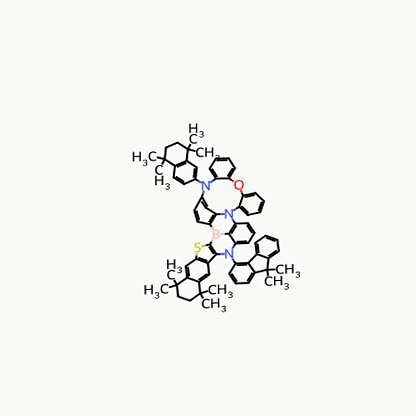 CC1(C)CCC(C)(C)c2cc(N3c4ccc5c(c4)N(c4ccccc4Oc4ccccc43)c3cccc4c3B5c3sc5cc6c(cc5c3N4c3cccc4c3-c3ccccc3C4(C)C)C(C)(C)CCC6(C)C)ccc21